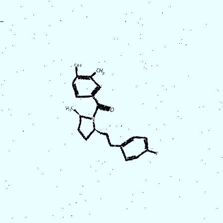 Cc1cc(C(=O)N2[C@@H](CCc3ccc(F)cc3)CC[C@H]2C)ccc1O